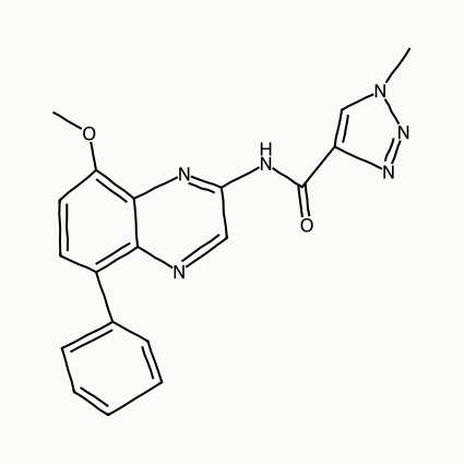 COc1ccc(-c2ccccc2)c2ncc(NC(=O)c3cn(C)nn3)nc12